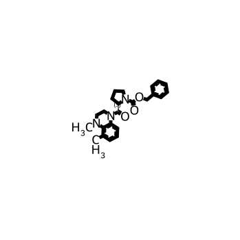 Cc1cccc2c1N(C)CCN2C(=O)[C@@H]1CCCN1C(=O)OCc1ccccc1